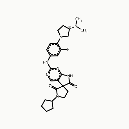 CN(C)[C@H]1CCN(c2ccc(Nc3ncc4c(n3)NC(=O)C43CCN(C4CCCC4)C3=O)cc2F)C1